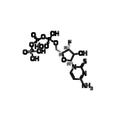 Nc1ccn([C@@H]2O[C@H](COP(=O)(O)OP(=O)(O)OP(=O)(O)O)[C@H](F)C2O)c(=S)n1